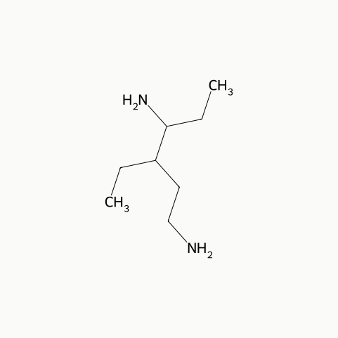 CCC(N)C(CC)CCN